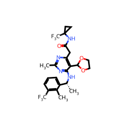 Cc1nc(CC(=O)NC2(C(F)(F)F)CC2)c(C2OCCO2)c(N[C@H](C)c2cccc(C(F)(F)F)c2C)n1